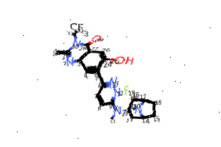 Cc1nc2cc(-c3ccc(N(C)[C@H]4CC5CCC([C@H]4F)N5C)nn3)c(O)cc2c(=O)n1CC(F)(F)F